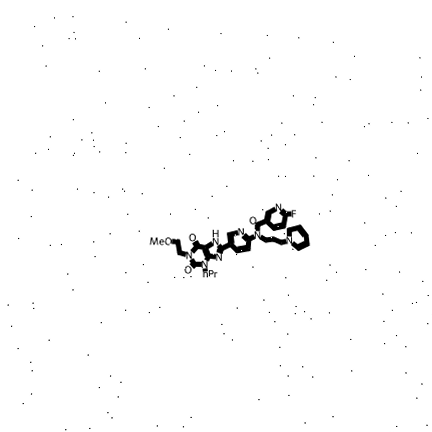 CCCn1c(=O)n(CCOC)c(=O)c2[nH]c(-c3ccc(N(CCCN4C=CC=CC4)C(=O)c4ccc(F)nc4)nc3)nc21